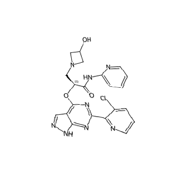 O=C(Nc1ccccn1)[C@H](CN1CC(O)C1)Oc1nc(-c2ncccc2Cl)nc2[nH]ncc12